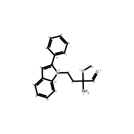 COC(N)(C=O)CCn1c(-c2ccccc2)cc2ccccc21